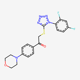 O=C(CSc1nnnn1-c1ccc(F)cc1F)c1ccc(N2CCOCC2)cc1